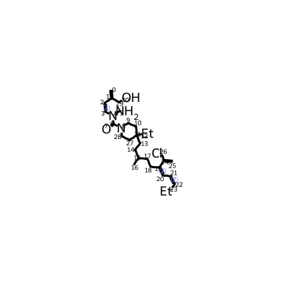 C=C(/C=C\N(N)C(=O)N1CCC(CC)(CCC(C)CC/C(=C/C=C\CC)C(=C)Cl)CC1)CO